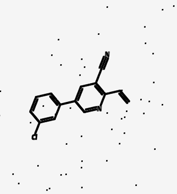 C=Cc1ncc(-c2cccc(Cl)c2)cc1C#N